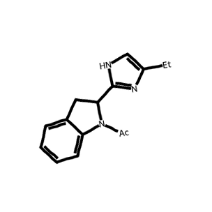 CCc1c[nH]c(C2Cc3ccccc3N2C(C)=O)n1